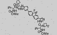 COC(=O)N[C@H](C(=O)N[C@H](c1nc2ccc(-c3ccc4c(c3)C(F)(F)c3cc(-c5cnc([C@@H]6CC7(CC7)CN6C(=O)[C@@H](NC(=O)OC)C(C)C)[nH]5)ccc3-4)cc2[nH]1)C1CCCC1)C(C)C